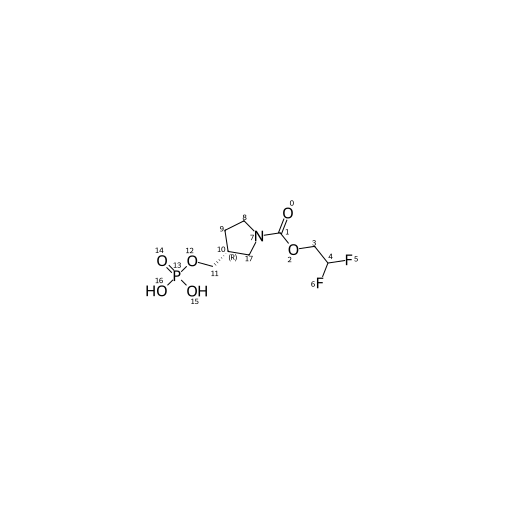 O=C(OCC(F)F)N1CC[C@@H](COP(=O)(O)O)C1